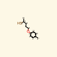 [CH2]c1ccc(OCCCC(C)S)cc1